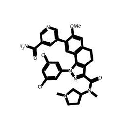 COc1cc2c(cc1-c1cncc(C(N)=O)c1)-c1c(c(C(=O)N(C)C3CCN(C)C3)nn1-c1cc(Cl)cc(Cl)c1)CC2